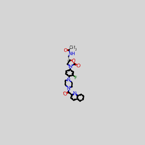 CC(=O)NC[C@H]1CN(c2ccc(N3CCN(C(=O)c4ccc5ccccc5n4)CC3)c(F)c2)C(=O)O1